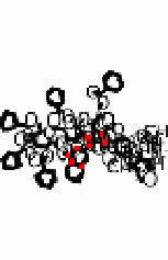 COC[C@@H]1O[C@@H](O[C@H]2C3CO[C@H](O3)[C@@H](N=[N+]=[N-])C2OC)C(OC)C(OC)[C@@H]1O[C@H]1O[C@@H](COC(=O)c2ccccc2)[C@@H](O[C@@H]2OC(COC(=O)c3ccccc3)[C@@H](O[C@@H]3OC4COC(c5ccccc5)O[C@H]4C(OC(=O)c4ccccc4)[C@@H]3OC(=O)c3ccccc3)C(OC(=O)c3ccccc3)[C@@H]2OC(=O)c2ccccc2)C(OC)C1OC